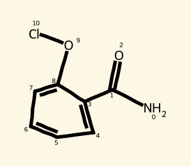 NC(=O)c1ccccc1OCl